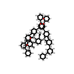 N#Cc1c(-n2c3cc(-c4ccnc(-c5ccccc5)c4)ccc3c3ccc(-c4ccnc(-c5ccccc5)c4)cc32)ccc(-c2c(F)c(F)c(F)c(F)c2F)c1-n1c2cc(-c3ccnc(-c4ccccc4)c3)ccc2c2ccc(-c3ccnc(-c4ccccc4)c3)cc21